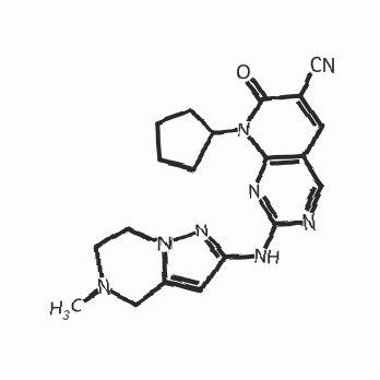 CN1CCn2nc(Nc3ncc4cc(C#N)c(=O)n(C5CCCC5)c4n3)cc2C1